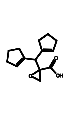 O=C(O)C1(C(C2=CCCC2)C2=CCCC2)CO1